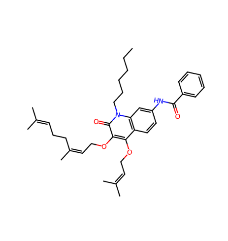 CCCCCCn1c(=O)c(OCC=C(C)CCC=C(C)C)c(OCC=C(C)C)c2ccc(NC(=O)c3ccccc3)cc21